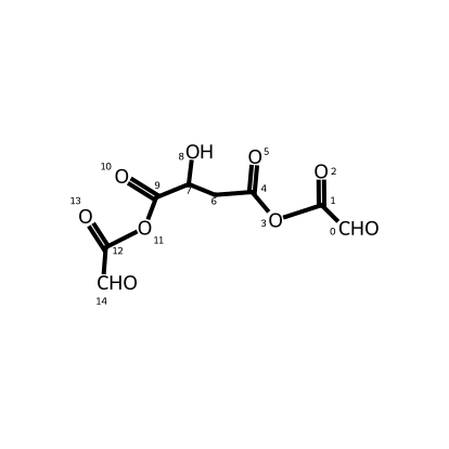 O=CC(=O)OC(=O)CC(O)C(=O)OC(=O)C=O